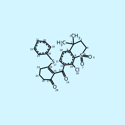 CC1(C)CCS(=O)(=O)c2c1ccc(C(=O)C1=C(Sc3ccccc3)CCCC1=O)c2Cl